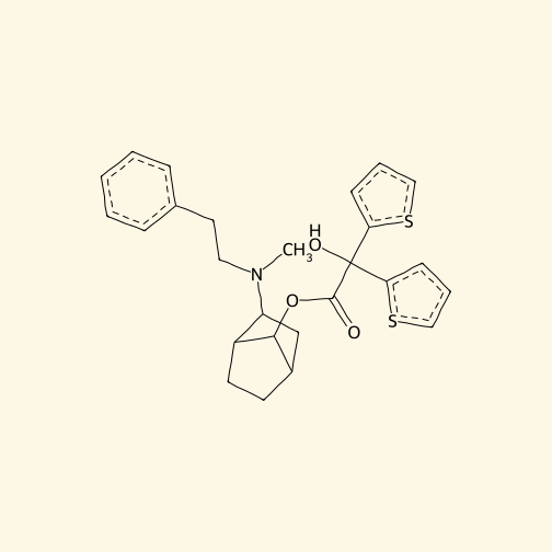 CN(CCc1ccccc1)C1CC2CCC1C2OC(=O)C(O)(c1cccs1)c1cccs1